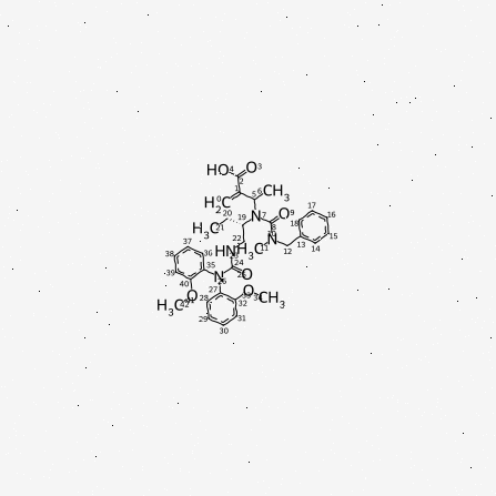 C=C(C(=O)O)C(C)N(C(=O)N(C)Cc1ccccc1)[C@@H](CC)CNC(=O)N(c1ccccc1OC)c1ccccc1OC